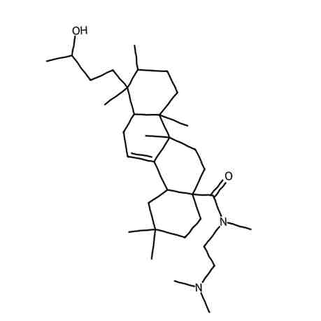 CC(O)CCC1(C)C(C)CCC2(C)C1CC=C1C3CC(C)(C)CCC3(C(=O)N(C)CCN(C)C)CCC12C